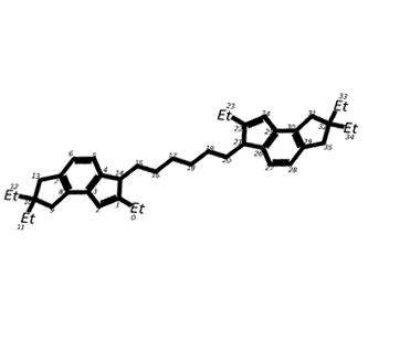 CCC1=Cc2c(ccc3c2CC(CC)(CC)C3)C1CCCCCCC1C(CC)=Cc2c1ccc1c2CC(CC)(CC)C1